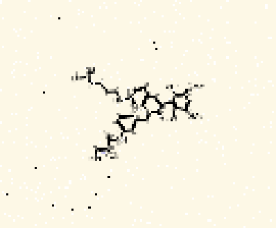 CCN(CC)CCCCNc1ncc2cc(-c3c(Cl)c(OC)cc(OC)c3Cl)c(=O)n(Cc3cccc(NC(=O)/C(C#N)=C/C(C)C)c3)c2n1